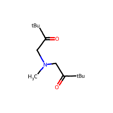 CN(CC(=O)C(C)(C)C)CC(=O)C(C)(C)C